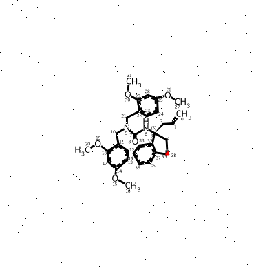 C=CC[C@](CF)(NC(=O)N(Cc1ccc(OC)cc1OC)Cc1ccc(OC)cc1OC)c1ccccc1F